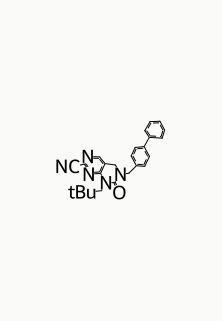 CC(C)(C)CN1C(=O)N(Cc2ccc(-c3ccccc3)cc2)Cc2cnc(C#N)nc21